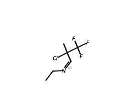 CC/N=C\C(C)(Cl)C(F)(F)F